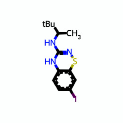 CC(NC1=NSc2cc(I)ccc2N1)C(C)(C)C